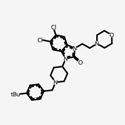 CC(C)(C)c1ccc(CN2CCC(n3c(=O)n(CCN4CCOCC4)c4cc(Cl)c(Cl)cc43)CC2)cc1